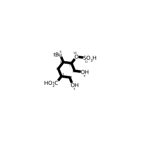 CC(C)(C)C(CC(CO)C(=O)O)C(CO)OS(=O)(=O)O